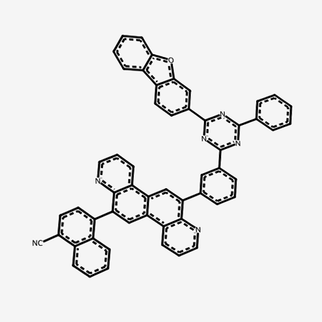 N#Cc1ccc(-c2cc3c4cccnc4c(-c4cccc(-c5nc(-c6ccccc6)nc(-c6ccc7c(c6)oc6ccccc67)n5)c4)cc3c3cccnc23)c2ccccc12